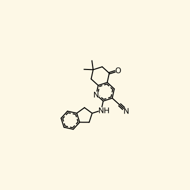 CC1(C)CC(=O)c2cc(C#N)c(NC3Cc4ccccc4C3)nc2C1